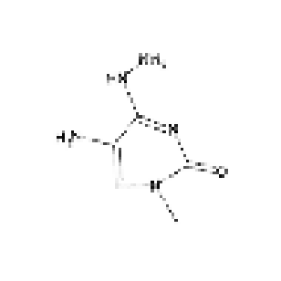 Cn1cc(N)c(NN)nc1=O